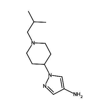 CC(C)CN1CCC(n2cc(N)cn2)CC1